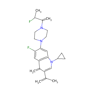 C=C(C)C1=CN(C2CC2)c2cc(N3CCN(C(=C)C(C)F)CC3)c(F)cc2C1=C